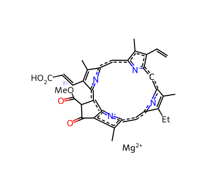 C=Cc1c(C)c2cc3nc(c4c5[n-]c(cc6nc(cc1[n-]2)C(C)=C6CC)c(C)c5C(=O)C4C(=O)OC)C(/C=C/C(=O)O)=C3C.[Mg+2]